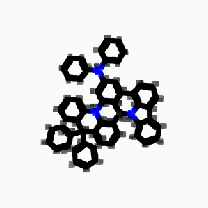 c1ccc(N(c2ccccc2)c2cc3c4c(c2)N2c5ccccc5C(c5ccccc5)(c5ccccc5)c5cccc(c52)B4n2c4ccccc4c4cccc-3c42)cc1